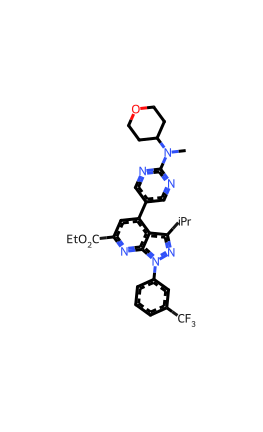 CCOC(=O)c1cc(-c2cnc(N(C)C3CCOCC3)nc2)c2c(C(C)C)nn(-c3cccc(C(F)(F)F)c3)c2n1